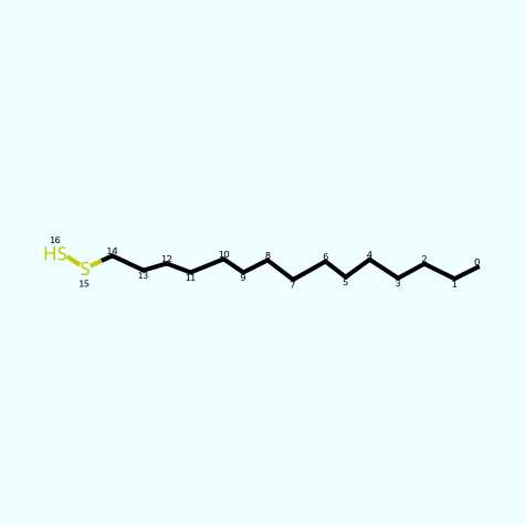 CCCCCCCCCCCCCCCSS